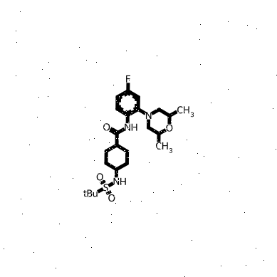 CC1CN(c2cc(F)ccc2NC(=O)C2CCC(NS(=O)(=O)C(C)(C)C)CC2)CC(C)O1